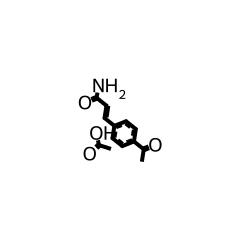 CC(=O)O.CC(=O)c1ccc(C=CC(N)=O)cc1